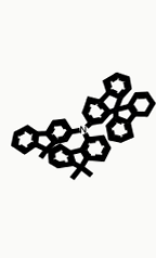 CC1(C)c2ccccc2-c2ccc(N(c3ccc4c(c3)C3(C5=C(CCC=C5)c5ccccc53)c3ccccc3-4)c3cccc4c3-c3ccccc3C4(C)C)cc21